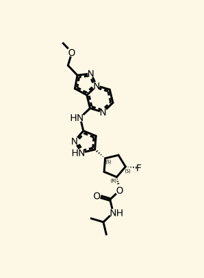 COCc1cc2c(Nc3cc([C@@H]4C[C@H](F)[C@H](OC(=O)NC(C)C)C4)[nH]n3)nccn2n1